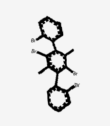 Cc1c(Br)c(-c2ccccc2Br)c(C)c(Br)c1-c1ccccc1Br